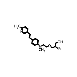 Cc1ccc(/C=C/c2ccc(N(C)CCOCC(CO)C(C)C)cc2)cn1